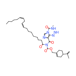 C=C(C)C1CC=C(COC(=O)N(C(=O)CCCCCCC/C=C\C/C=C\CCCCC)C(=O)c2ncn(C(=O)NC)c2N=N)CC1